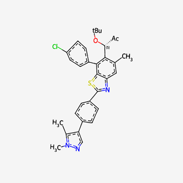 CC(=O)[C@@H](OC(C)(C)C)c1c(C)cc2nc(-c3ccc(-c4cnn(C)c4C)cc3)sc2c1-c1ccc(Cl)cc1